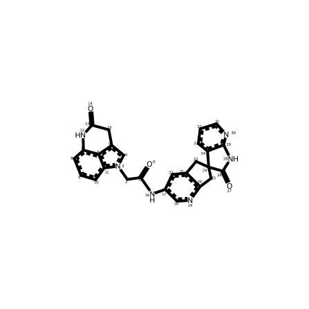 O=C(Cn1cc2c3c(cccc31)NC(=O)C2)Nc1cnc2c(c1)CC1(C2)C(=O)Nc2ncccc21